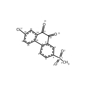 CS(=O)(=O)c1ccc2c(c1)C(=O)C(=O)c1cc(Cl)ccc1-2